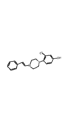 Oc1ccc(N2CCN(C=Cc3ccccc3)CC2)c(Cl)c1